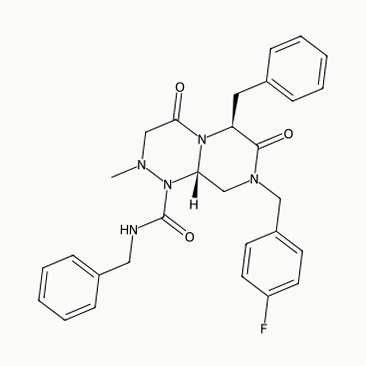 CN1CC(=O)N2[C@@H](Cc3ccccc3)C(=O)N(Cc3ccc(F)cc3)C[C@@H]2N1C(=O)NCc1ccccc1